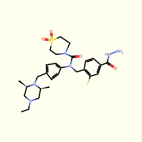 CCN1C[C@@H](C)N(Cc2ccc(N(Cc3ccc(C(=O)NN)cc3F)C(=O)N3CCS(=O)(=O)CC3)cc2)[C@@H](C)C1